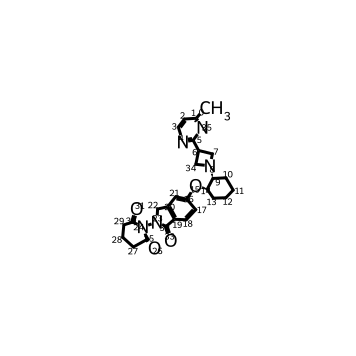 Cc1ccnc(C2CN([C@@H]3CCCC[C@H]3Oc3ccc4c(c3)CN(N3C(=O)CCCC3=O)C4=O)C2)n1